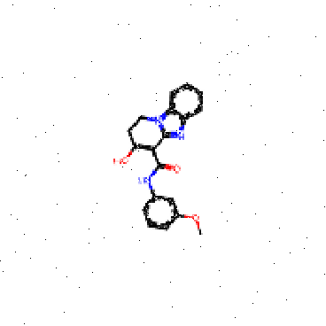 COc1cccc(NC(=O)C2=C(O)CCn3c2nc2ccccc23)c1